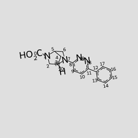 O=C(O)N1C[C@@H]2CC1CN2c1ccc(-c2ccccc2)nn1